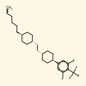 C=CCCCC[C@H]1CC[C@H](CC[C@H]2CC[C@H](c3cc(F)c(C(F)(F)F)c(F)c3)CC2)CC1